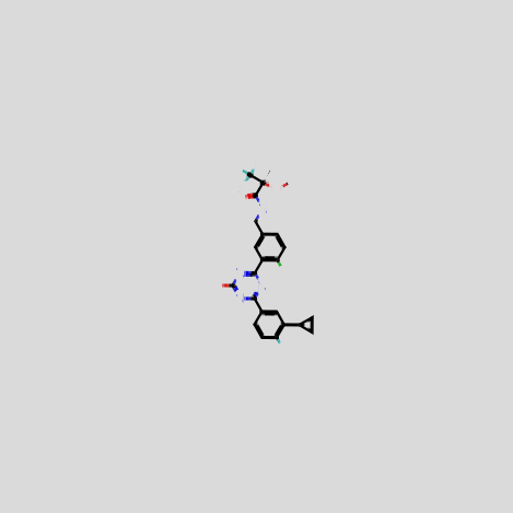 CO[C@](C)(C(=O)NCc1ccc(Cl)c(-c2nc(O)nc(-c3ccc(F)c(C4CC4)c3)n2)c1)C(F)(F)F